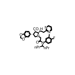 CCCC(CCC)N(C(=O)CN1C[C@H](c2ccc3c(c2)OCO3)[C@H](C(=O)O)[C@H]1CCc1ncccn1)c1ccc(F)c(C)c1